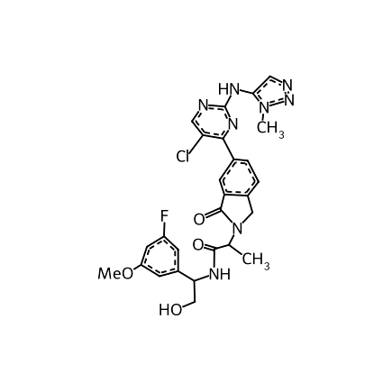 COc1cc(F)cc(C(CO)NC(=O)C(C)N2Cc3ccc(-c4nc(Nc5cnnn5C)ncc4Cl)cc3C2=O)c1